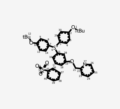 CC(C)(C)Oc1ccc([S+](c2ccc(OC(C)(C)C)cc2)c2cccc(OCc3ccccn3)c2)cc1.O=S(=O)([O-])c1ccccc1